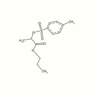 CCCOC(=O)C(C)OS(=O)(=O)c1ccc(C)cc1